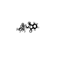 COP(=O)(SC)SCN1C(=O)c2ccccc2C1=O